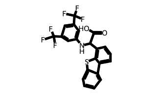 O=C(O)C(Nc1cc(C(F)(F)F)cc(C(F)(F)F)c1)c1cccc2c1sc1ccccc12